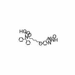 O=C(O)CN(C(=O)CCCCCCOc1ccc2c(c1)CN1CC(=O)NC1=N2)C(c1ccccc1)c1ccccc1